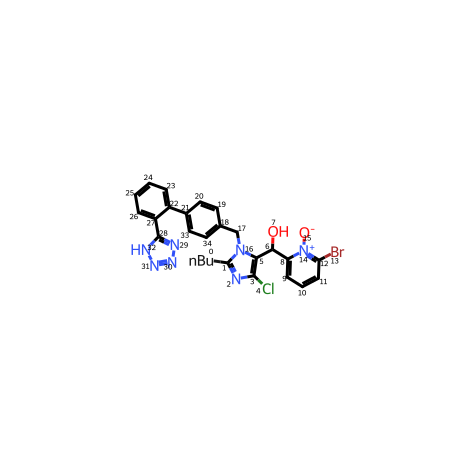 CCCCc1nc(Cl)c(C(O)c2cccc(Br)[n+]2[O-])n1Cc1ccc(-c2ccccc2-c2nnn[nH]2)cc1